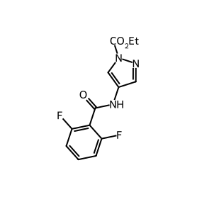 CCOC(=O)n1cc(NC(=O)c2c(F)cccc2F)cn1